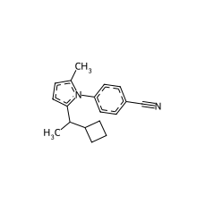 Cc1ccc(C(C)C2CCC2)n1-c1ccc(C#N)cc1